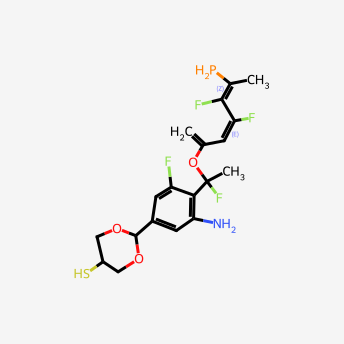 C=C(/C=C(F)\C(F)=C(/C)P)OC(C)(F)c1c(N)cc(C2OCC(S)CO2)cc1F